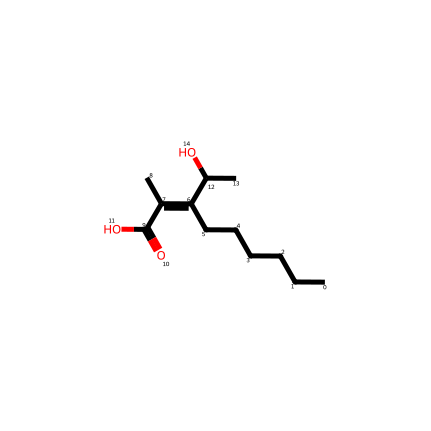 CCCCCC/C(=C(/C)C(=O)O)C(C)O